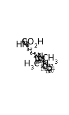 Cc1nn(CCCCCCNC(=O)O)c(C)c1-c1ccc2ccccc2n1